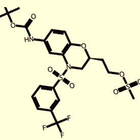 CC(C)(C)OC(=O)Nc1ccc2c(c1)N(S(=O)(=O)c1cccc(C(F)(F)F)c1)C[C@H](CCOS(C)(=O)=O)O2